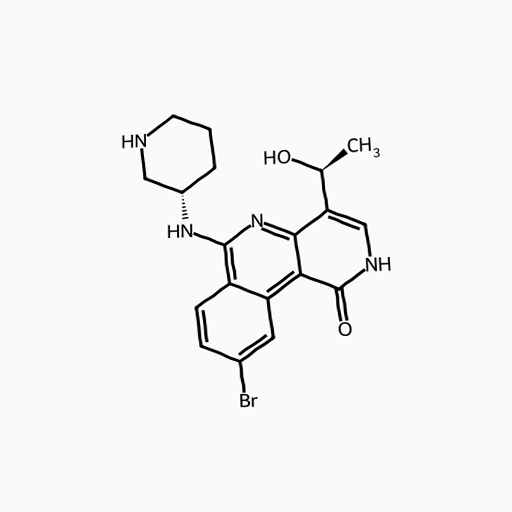 C[C@H](O)c1c[nH]c(=O)c2c1nc(N[C@H]1CCCNC1)c1ccc(Br)cc12